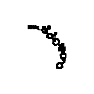 CC(=O)NC[C@H]1CN(c2ccc(N3CCC(n4nnc(N5CCN(Cc6ccccc6)CC5)n4)CC3)c(F)c2)C(=O)O1